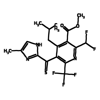 COC(=O)c1c(C(F)F)nc(C(F)(F)F)c(C(=S)c2nc(C)c[nH]2)c1CC(C)C